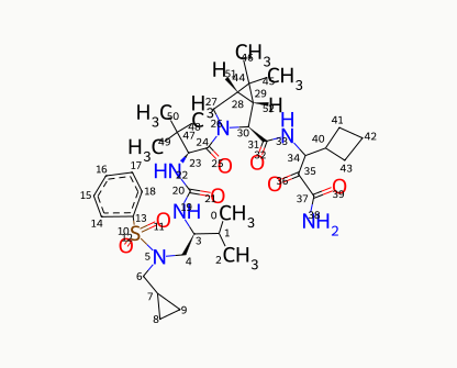 CC(C)[C@@H](CN(CC1CC1)S(=O)(=O)c1ccccc1)NC(=O)N[C@H](C(=O)N1C[C@H]2[C@@H]([C@H]1C(=O)NC(C(=O)C(N)=O)C1CCC1)C2(C)C)C(C)(C)C